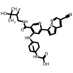 CC(C)(O)C(F)CNC(=O)c1cnc(-c2ccc3cc(C#N)cnn23)cc1NC12CCC(NC(=O)O)(CC1)CC2